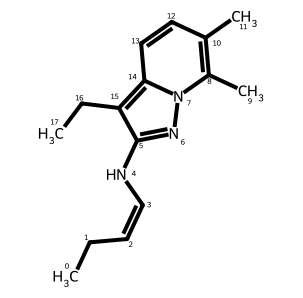 CC/C=C\Nc1nn2c(C)c(C)ccc2c1CC